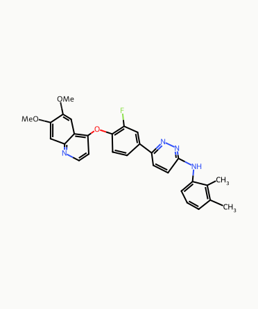 COc1cc2nccc(Oc3ccc(-c4ccc(Nc5cccc(C)c5C)nn4)cc3F)c2cc1OC